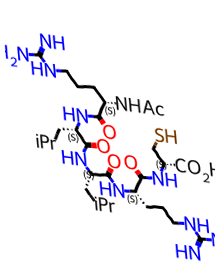 CC(=O)N[C@@H](CCCNC(=N)N)C(=O)N[C@@H](CC(C)C)C(=O)N[C@@H](CC(C)C)C(=O)N[C@@H](CCCNC(=N)N)C(=O)N[C@H](CS)C(=O)O